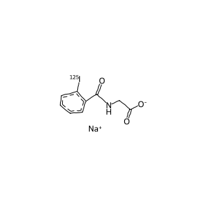 O=C([O-])CNC(=O)c1ccccc1[125I].[Na+]